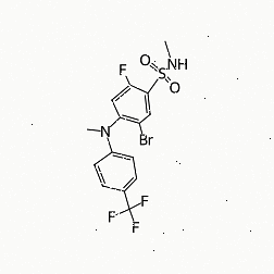 CNS(=O)(=O)c1cc(Br)c(N(C)c2ccc(C(F)(F)F)cc2)cc1F